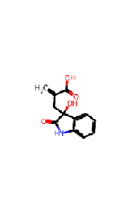 C=C(CC1(O)C(=O)Nc2ccccc21)C(=O)O